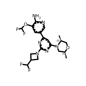 C[C@H]1CN(c2cc(-c3cnc(N)c(OC(F)F)c3)nc(N3CC(C(F)F)C3)n2)[C@@H](C)CO1